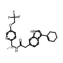 C[C@@H](NC(=O)Cc1ccc2c(C3=CCCCC3)c[nH]c2c1)c1ccc(OCC(F)(F)F)cn1